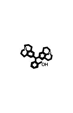 OCc1ccccc1C(c1cc2c3c(c1)CCCN3CCC2)c1cc2c3c(c1)CCCN3CCC2